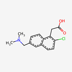 CN(C)Cc1ccc2c(CC(=O)O)c(Cl)ccc2c1